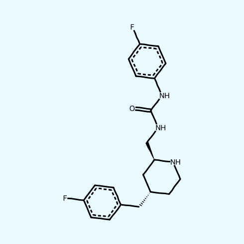 O=C(NC[C@@H]1C[C@@H](Cc2ccc(F)cc2)CCN1)Nc1ccc(F)cc1